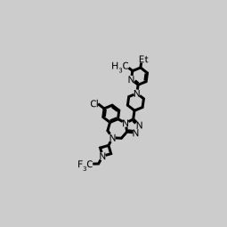 CCC1C=CC(N2CCC(c3nnc4n3-c3ccc(Cl)cc3CN(C3CN(CC(F)(F)F)C3)C4)CC2)=NC1C